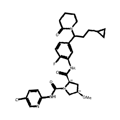 CO[C@@H]1C[C@H](C(=O)Nc2cc(C(CCC3CC3)N3CCCCC3=O)ccc2F)N(C(=O)Nc2ccc(Cl)cn2)C1